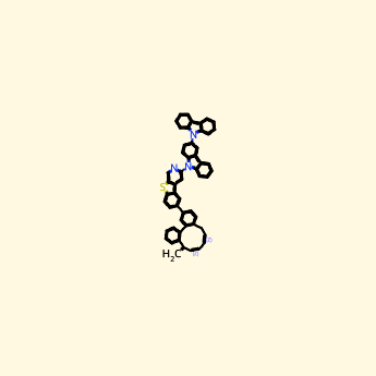 C=C1/C=C\C=C/Cc2ccc(-c3ccc4sc5cnc(-n6c7ccccc7c7cc(-n8c9ccccc9c9ccccc98)ccc76)cc5c4c3)cc2-c2ccccc21